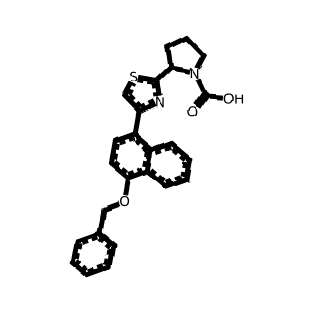 O=C(O)N1CCCC1c1nc(-c2ccc(OCc3ccccc3)c3ccccc23)cs1